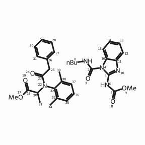 CCCCNC(=O)n1c(NC(=O)OC)nc2ccccc21.COC(=O)C(C)N(C(=O)Cc1ccccc1)c1c(C)cccc1C